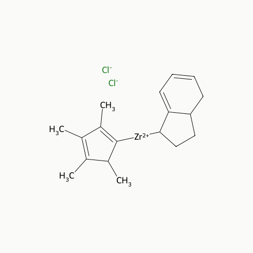 CC1=C(C)C(C)[C]([Zr+2][CH]2CCC3CC=CC=C32)=C1C.[Cl-].[Cl-]